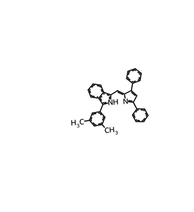 Cc1cc(C)cc(-c2[nH]c(/C=C3\N=C(c4ccccc4)C=C3c3ccccc3)c3ccccc23)c1